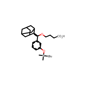 CC(C)(C)[Si](C)(C)Oc1cccc(C(OCCCC(=O)O)=C2C3CC4CC(C3)CC2C4)c1